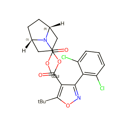 CC(C)(C)OC(=O)N1[C@@H]2CC[C@H]1CC(OC(=O)c1c(-c3c(Cl)cccc3Cl)noc1C(C)(C)C)C2